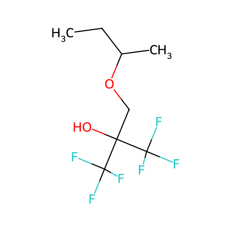 CCC(C)OCC(O)(C(F)(F)F)C(F)(F)F